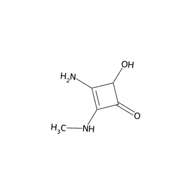 CNC1=C(N)C(O)C1=O